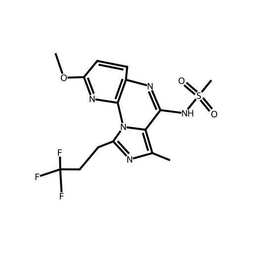 COc1ccc2nc(NS(C)(=O)=O)c3c(C)nc(CCC(F)(F)F)n3c2n1